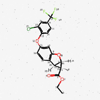 CCOC(=O)[C@]1(C)[C@@H]2Oc3cc(Oc4ccc(C(F)(F)F)cc4Cl)ccc3[C@@H]21